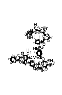 CC[C@H](C)[C@@H]([C@@H](CC(=O)N1CCCC1[C@H](OC)[C@@H](C)C(=O)N[C@H](C)[C@@H](O)c1ccccc1)OC)N(C)C(=O)[C@@H](NC(=O)[C@H](C(C)C)N(C)C(=O)OCc1ccc(NC(=O)[C@@H]2CCCN2C(=O)[C@H](CC(C)C)NC(=O)[C@H](CC(C)C)NC(=O)[C@H](C)NC(=O)CP(=O)(O)O)cc1)C(C)C